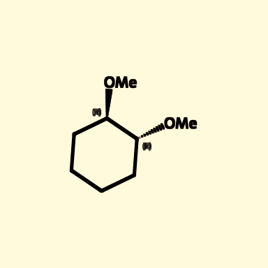 CO[C@@H]1CCCC[C@H]1OC